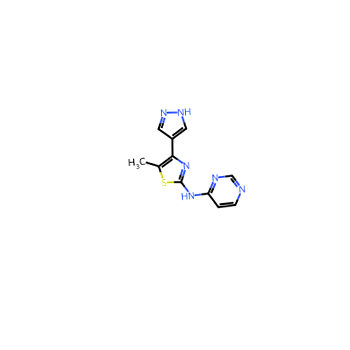 Cc1sc(Nc2ccncn2)nc1-c1cn[nH]c1